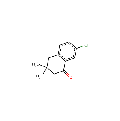 CC1(C)CC(=O)c2cc(Cl)ccc2C1